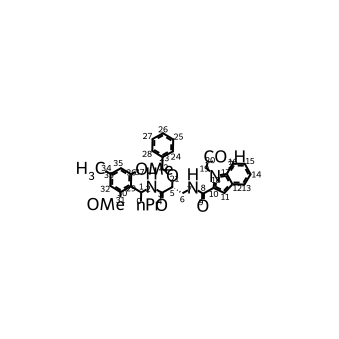 CCCC(NC(=O)[C@@H](CNC(=O)c1cc2ccccc2n1CC(=O)O)OCc1ccccc1)c1c(OC)cc(C)cc1OC